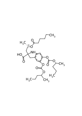 CCCCCC(=O)O[C@@H](C)CC(N)(Cc1ccc(OC(=O)OC(C)CCC)c(OC(=O)OC(C)CCC)c1)C(=O)O